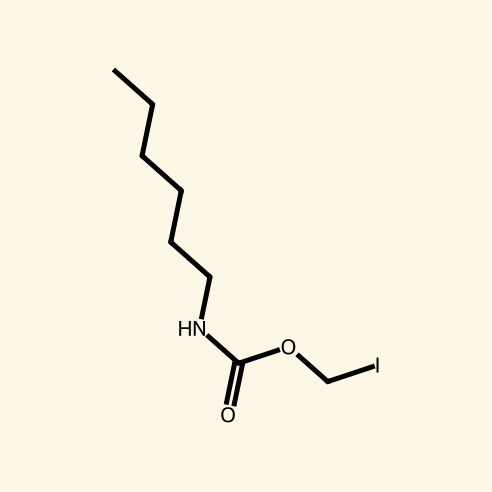 CCCCCCNC(=O)OCI